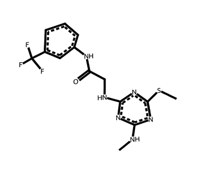 CNc1nc(NCC(=O)Nc2cccc(C(F)(F)F)c2)nc(SC)n1